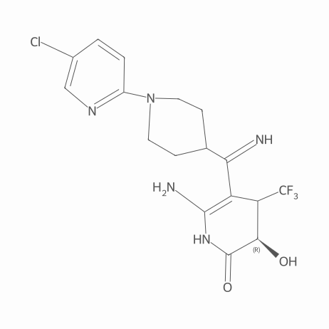 N=C(C1=C(N)NC(=O)[C@H](O)C1C(F)(F)F)C1CCN(c2ccc(Cl)cn2)CC1